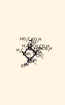 C=Cc1cc2[nH]c1/C=c1\[nH]/c(c(C(C)C(=O)NC(CC(=O)O)C(=O)O)c1C)=C\C1=NC(=C(C)C1(C)C(C)C(=O)NC(CC(=O)O)C(=O)O)/C=C1\NC(=C\2)/C(=C/C=N\OCC)C1(C)O